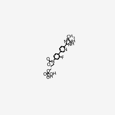 CN1N=C(c2ccc(-c3ccc(N4C[C@H](COP(=O)(O)O)OC4=O)cc3F)cn2)NN1